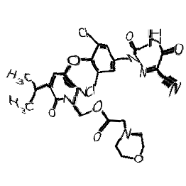 CC(C)c1cc(Oc2c(Cl)cc(-n3nc(C#N)c(=O)[nH]c3=O)cc2Cl)nn(COC(=O)CN2CCOCC2)c1=O